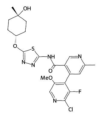 COc1cnc(Cl)c(F)c1-c1cc(C)ncc1C(=O)Nc1nnc(O[C@H]2CC[C@@](C)(O)CC2)s1